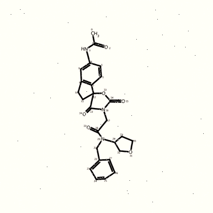 CC(=O)Nc1ccc2c(c1)CCC21OC(=O)N(CC(=O)N(Cc2ccccc2)C2CCOC2)C1=O